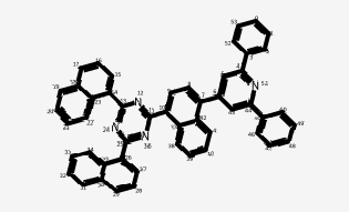 c1ccc(-c2cc(-c3ccc(-c4nc(-c5cccc6ccccc56)nc(-c5cccc6ccccc56)n4)c4ccccc34)cc(-c3ccccc3)n2)cc1